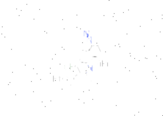 CCOC(=O)c1c(Cl)cc(-c2c(C(C)C)ccc([N+]#N)c2C)nc1C